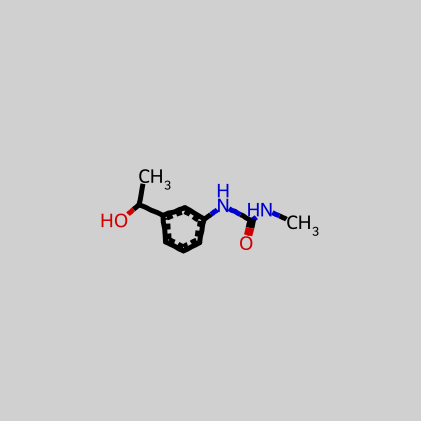 CNC(=O)Nc1cccc(C(C)O)c1